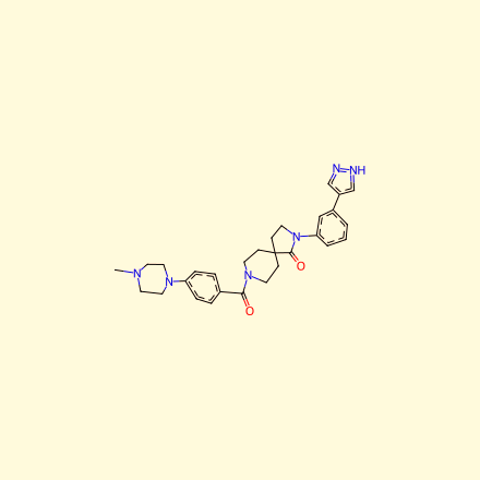 CN1CCN(c2ccc(C(=O)N3CCC4(CC3)CCN(c3cccc(-c5cn[nH]c5)c3)C4=O)cc2)CC1